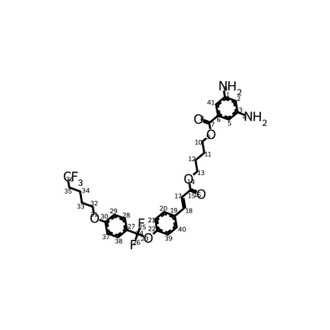 Nc1cc(N)cc(C(=O)OCCCCOC(=O)C=Cc2ccc(OC(F)(F)c3ccc(OCCCCC(F)(F)F)cc3)cc2)c1